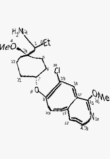 CCC(N)[C@]1(OC)CC[C@H](Oc2cc3ccnc(OC)c3cc2Cl)CC1